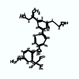 C=C(CO)c1cc(CCO)nc(-c2ccc(Oc3ccc(N)cc3C(F)(F)F)cc2)c1